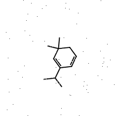 CC(C)C1=CC(C)(C)CC=C1